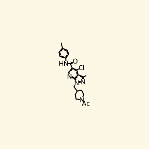 CC(=O)N1CCC(Cn2nc(C)c3c(Cl)c(C(=O)Nc4ccc(C)cc4)cnc32)CC1